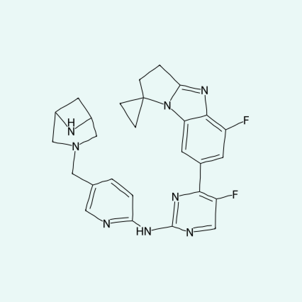 Fc1cnc(Nc2ccc(CN3CC4CC(C3)N4)cn2)nc1-c1cc(F)c2nc3n(c2c1)C1(CC3)CC1